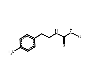 CCNC(=S)NCCc1ccc(N)cc1